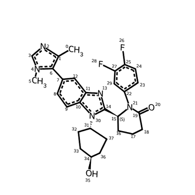 Cc1ncn(C)c1-c1ccc2c(c1)nc([C@@H]1CCCC(=O)N1c1ccc(F)c(F)c1)n2[C@H]1CC[C@H](O)CC1